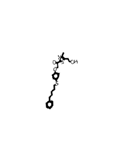 Cc1nc(C(=O)COc2ccc(SCCCCCc3ccccc3)cc2)sc1CCO